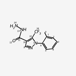 Cc1ccccc1-n1ncc(C(=O)NN)c1C(F)(F)F